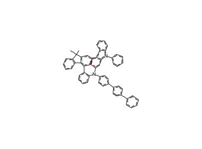 CC1(C)c2ccccc2-c2c(-c3ccccc3N(c3ccc(-c4ccc(-c5ccccc5)cc4)cc3)c3ccc4c5ccccc5n(-c5ccccc5)c4c3)cccc21